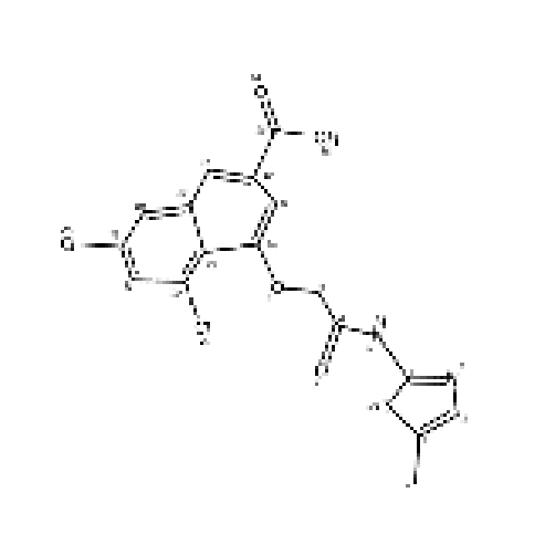 Cc1cnc(NC(=O)COc2cc(C(=O)O)cc3cc(Cl)cc(Cl)c23)s1